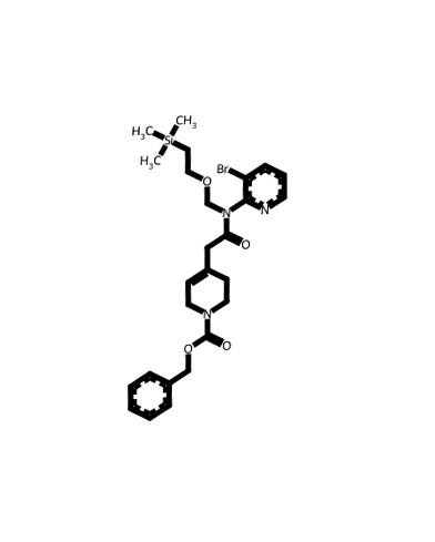 C[Si](C)(C)CCOCN(C(=O)CC1=CCN(C(=O)OCc2ccccc2)CC1)c1ncccc1Br